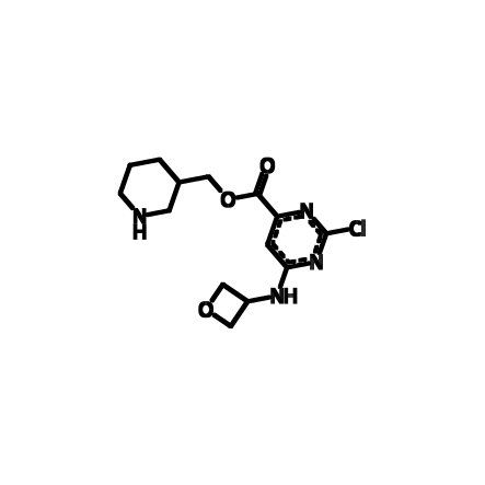 O=C(OCC1CCCNC1)c1cc(NC2COC2)nc(Cl)n1